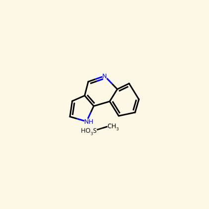 CS(=O)(=O)O.c1ccc2c(c1)ncc1cc[nH]c12